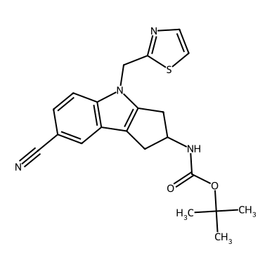 CC(C)(C)OC(=O)NC1Cc2c(n(Cc3nccs3)c3ccc(C#N)cc23)C1